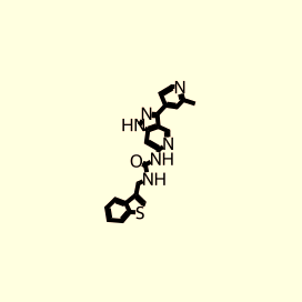 Cc1cc(-c2n[nH]c3cc(NC(=O)NCc4csc5ccccc45)ncc23)ccn1